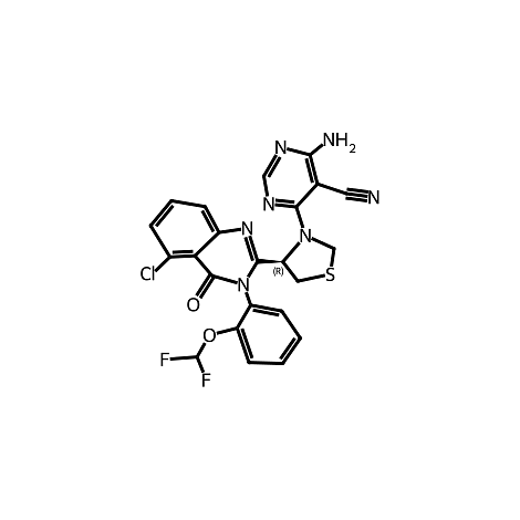 N#Cc1c(N)ncnc1N1CSC[C@H]1c1nc2cccc(Cl)c2c(=O)n1-c1ccccc1OC(F)F